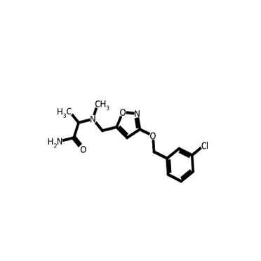 CC(C(N)=O)N(C)Cc1cc(OCc2cccc(Cl)c2)no1